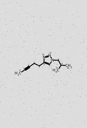 CC#CCCc1cn(CC(C)C)nn1